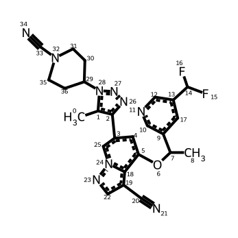 Cc1c(-c2cc(OC(C)c3cncc(C(F)F)c3)c3c(C#N)cnn3c2)nnn1C1CCN(C#N)CC1